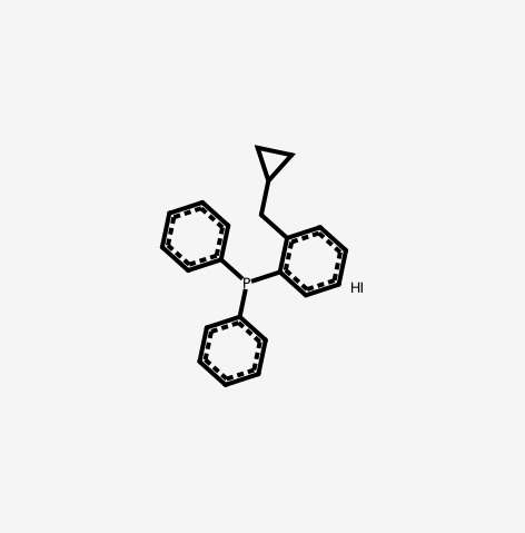 I.c1ccc(P(c2ccccc2)c2ccccc2CC2CC2)cc1